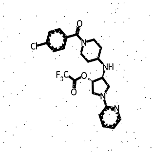 O=C(c1ccc(Cl)cc1)N1CCC(N[C@H]2CN(c3ccccn3)C[C@@H]2OC(=O)C(F)(F)F)CC1